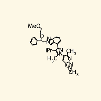 COCCO[C@@H](Cn1cc2c(-c3nn(-c4cc5cn(C)nc5nc4C)c(C)c3C(C)C)cccc2n1)c1ccccc1